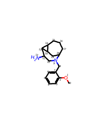 COc1ccccc1CN1CC(N)C2C3CCCC1CC32